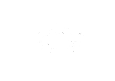 CC1=c2c(=O)[nH]c(=O)n(C3CC3)c2=C(C)C(N2CCC(C(N)C(F)(F)C(F)(F)F)C2)C1F